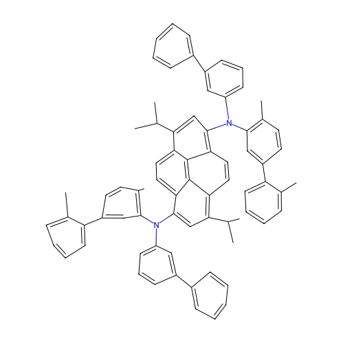 Cc1ccccc1-c1ccc(C)c(N(c2cccc(-c3ccccc3)c2)c2cc(C(C)C)c3ccc4c(N(c5cccc(-c6ccccc6)c5)c5cc(-c6ccccc6C)ccc5C)cc(C(C)C)c5ccc2c3c54)c1